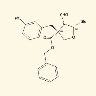 CC(C)(C)[C@@H]1OC[C@](Cc2cccc(C#N)c2)(C(=O)OCc2ccccc2)N1C=O